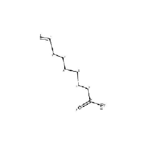 C=CCCCCCCC(=O)C(C)C